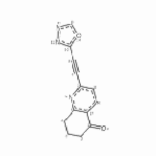 O=C1CCCc2nc(C#Cc3nnco3)ccc21